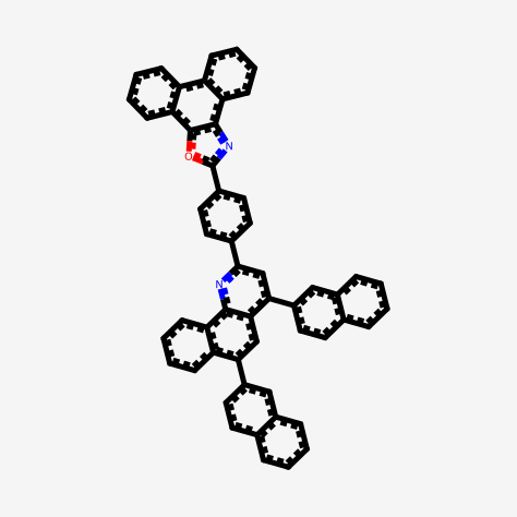 c1ccc2cc(-c3cc4c(-c5ccc6ccccc6c5)cc(-c5ccc(-c6nc7c8ccccc8c8ccccc8c7o6)cc5)nc4c4ccccc34)ccc2c1